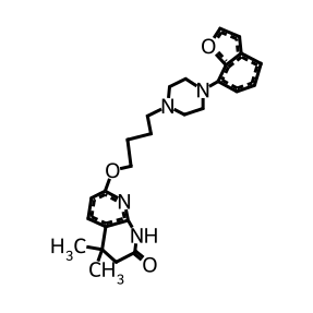 CC1(C)CC(=O)Nc2nc(OCCCCN3CCN(c4cccc5ccoc45)CC3)ccc21